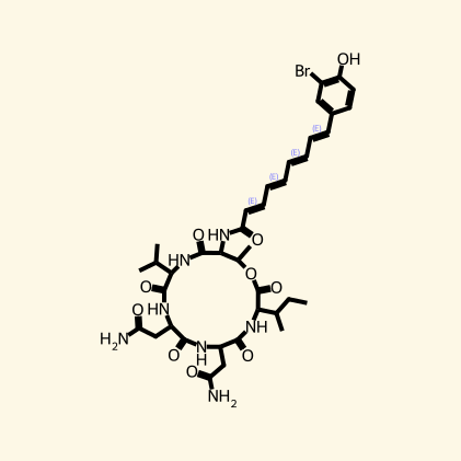 CCC(C)C1NC(=O)C(CC(N)=O)NC(=O)C(CC(N)=O)NC(=O)C(C(C)C)NC(=O)C(NC(=O)/C=C/C=C/C=C/C=C/c2ccc(O)c(Br)c2)C(C)OC1=O